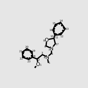 COC(CN(C)CN1COC(c2ccccc2)C1)c1ccccc1